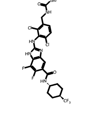 CC(C)(C)C(=O)NCc1ccc(Cl)c(Nc2nc3cc(C(=O)N[C@H]4CC[C@H](C(F)(F)F)CC4)c(F)c(F)c3[nH]2)c1Cl